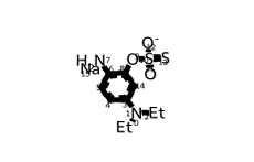 CCN(CC)c1ccc(N)c(OS(=O)([O-])=S)c1.[Na+]